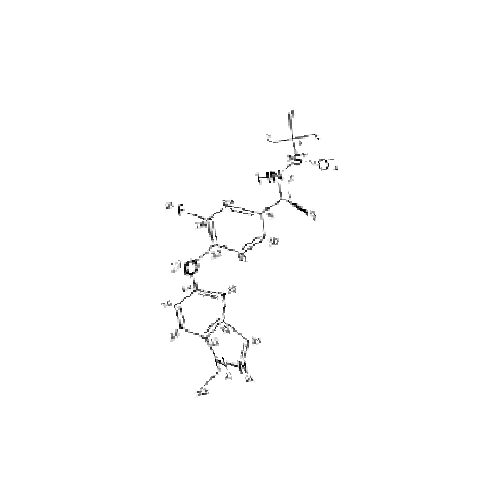 C[C@H](N[S@@+]([O-])C(C)(C)C)c1ccc(Oc2ccc3c(cnn3C)c2)c(F)c1